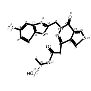 C[C@H](NC(=O)Cc1nn(Cc2nc3cc(C(F)(F)F)ccc3s2)c(=O)c2cscc12)C(=O)O